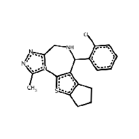 Cc1nnc2n1-c1sc3c(c1C(c1ccccc1Cl)NC2)CCC3